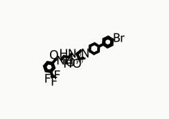 O=C(CNC(=O)c1cccc(C(F)(F)F)c1)N[C@H]1CN(C2CCC(c3ccc(Br)cc3)CC2)C[C@@H]1O